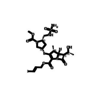 COC(=O)N1C[C@@H](SC2=C(C(=O)OCC=CI)N3C(=O)[C@H]([C@@H](C)O)[C@H]3[C@H]2C)C[C@H]1CNS(N)(=O)=O